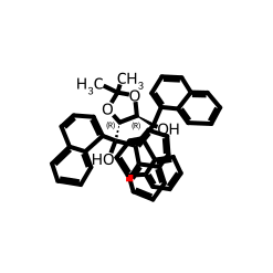 CC1(C)O[C@@H](C(O)(c2cccc3ccccc23)c2cccc3ccccc23)[C@H](C(O)(c2cccc3ccccc23)c2cccc3ccccc23)O1